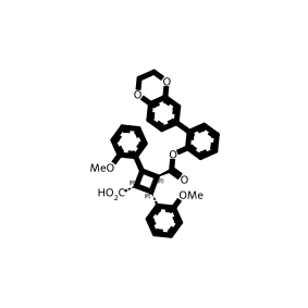 COc1ccccc1C1[C@@H](C(=O)O)[C@@H](c2ccccc2OC)[C@@H]1C(=O)Oc1ccccc1-c1ccc2c(c1)OCCO2